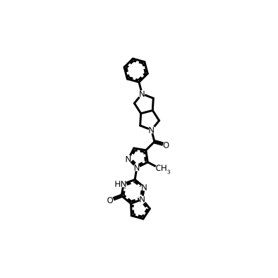 Cc1c(C(=O)N2CC3CN(c4ccccc4)CC3C2)cnn1-c1nn2cccc2c(=O)[nH]1